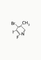 Cc1cnc(F)c(I)c1Br